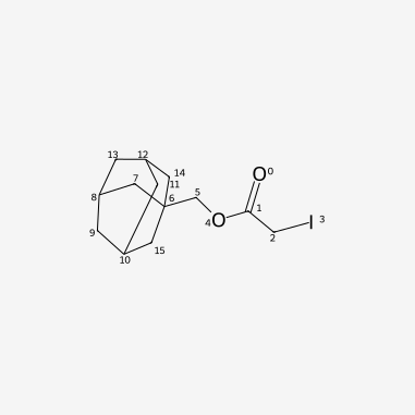 O=C(CI)OCC12CC3CC(CC(C3)C1)C2